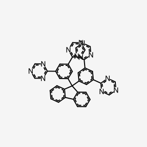 c1ccc2c(c1)-c1ccccc1C2(c1cc(-c2ncncn2)cc(-c2ncncn2)c1)c1cc(-c2ncncn2)cc(-c2ncncn2)c1